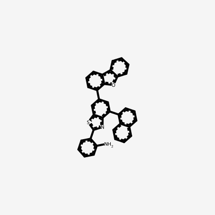 Nc1ccccc1-c1nc2c(-c3cccc4ccccc34)cc(-c3cccc4c3oc3ccccc34)cc2s1